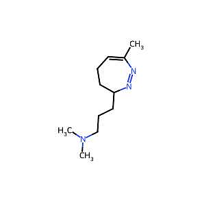 CC1=CCCC(CCCN(C)C)N=N1